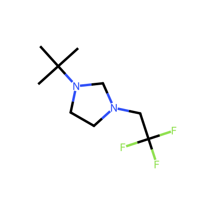 CC(C)(C)N1CCN(CC(F)(F)F)C1